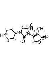 CC1=C(N2C(=O)N(C3CCNCC3)CC2C)COC1=O